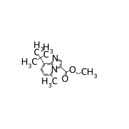 CCOC(=O)c1cnc2c(C(C)(C)C)ccc(C)n12